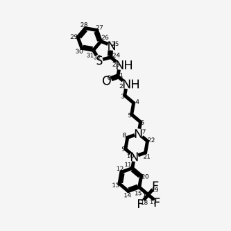 O=C(NCCCCN1CCN(c2cccc(C(F)(F)F)c2)CC1)Nc1nc2ccccc2s1